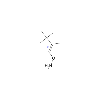 C/C(=C\ON)C(C)(C)C